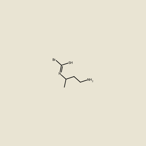 CC(CCN)/N=C(\S)Br